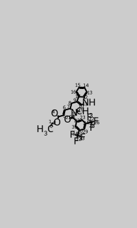 CCOC(=O)C=CC(Cc1c[nH]c2ccccc12)N(C)C(=O)c1cc(C(F)(F)F)cc(C(F)(F)F)c1